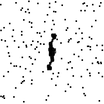 C=CC(=O)OCCCCCCOc1ccc(C(=O)Oc2c(F)c(F)c(OC(=O)c3ccc(OCCCCCCOC(=O)C(=C)C)cc3)c(F)c2F)cc1